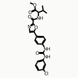 COC(=O)C(NC(=O)c1ncc(-c2ccc(NC(=O)Nc3cccc(Cl)c3)cc2)o1)C(C)C